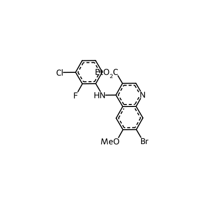 CCOC(=O)c1cnc2cc(Br)c(OC)cc2c1Nc1cccc(Cl)c1F